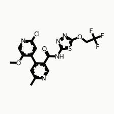 COc1cnc(Cl)cc1-c1cc(C)ncc1C(=O)Nc1nnc(OCC(F)(F)F)s1